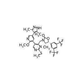 COc1ncc(-c2c(C)n[nH]c2C)cc1-c1cnc(SC)nc1CN1C(=O)O[C@H](c2cc(C(F)(F)F)cc(C(F)(F)F)c2)[C@@H]1C